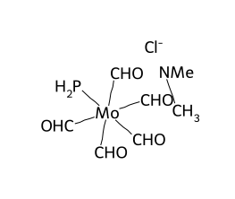 C[NH2+]C.O=[CH][Mo]([PH2])([CH]=O)([CH]=O)([CH]=O)[CH]=O.[Cl-]